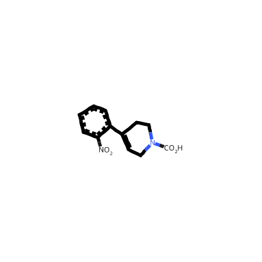 O=C(O)N1CC=C(c2ccccc2[N+](=O)[O-])CC1